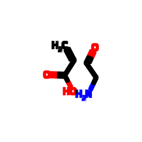 C=CC(=O)O.NCC=O